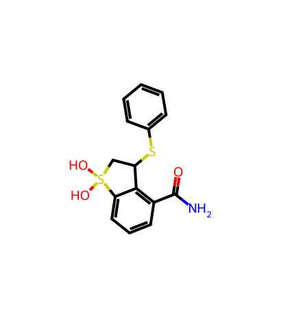 NC(=O)c1cccc2c1C(Sc1ccccc1)CS2(O)O